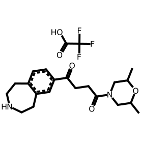 CC1CN(C(=O)CCC(=O)c2ccc3c(c2)CCNCC3)CC(C)O1.O=C(O)C(F)(F)F